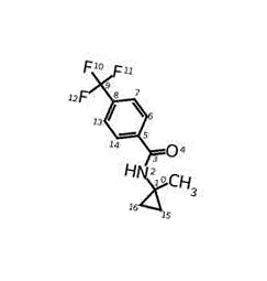 CC1(NC(=O)c2ccc(C(F)(F)F)cc2)CC1